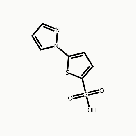 O=S(=O)(O)c1ccc(-n2cccn2)s1